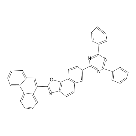 c1ccc(-c2nc(-c3ccccc3)nc(-c3ccc4c(ccc5nc(-c6cc7ccccc7c7ccccc67)oc54)c3)n2)cc1